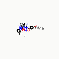 COC(=O)c1ccc(C(=O)NN/C(C)=C2\C(=O)N(c3cccc(C(F)(F)F)c3)N=C2C)cc1